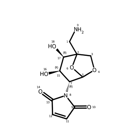 NCC12COC(O1)[C@H](N1C(=O)C=CC1=O)[C@@H](O)[C@H]2O